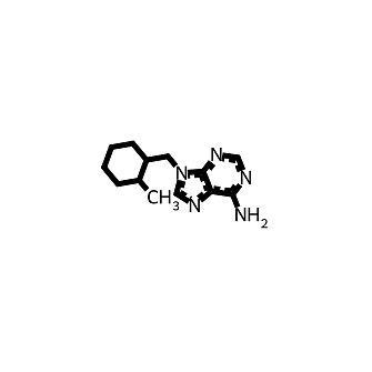 CC1CCCCC1Cn1cnc2c(N)ncnc21